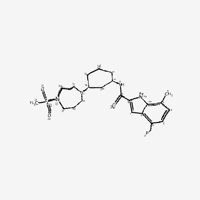 Cc1ccc(F)c2cc(C(=O)N[C@@H]3CCC[C@H](N4CCCN(S(C)(=O)=O)CC4)C3)[nH]c12